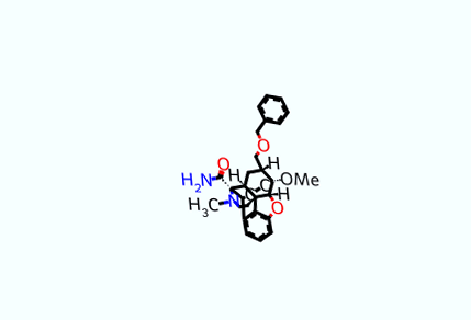 CO[C@]12CCC3c4cccc5c4[C@@]4(CCN(C)[C@@]3(C(N)=O)[C@H]4C[C@@H]1COCc1ccccc1)[C@H]2O5